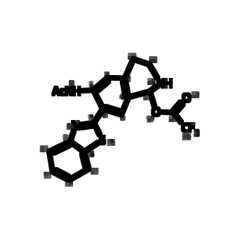 CC(=O)Nc1cc2c(cc1-c1nc3ccccc3s1)C(OC(=O)C(F)(F)F)NCC2